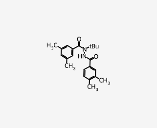 Cc1cc(C)cc(C(=O)N(NC(=O)c2ccc(C)c(C)c2)C(C)(C)C)c1